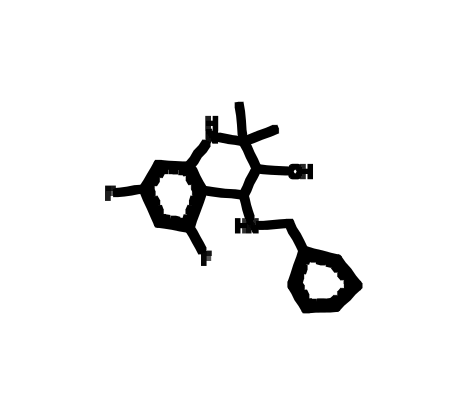 CC1(C)Nc2cc(F)cc(F)c2C(NCc2ccccc2)C1O